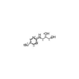 CC(C)(C)c1cnc(NCC(O)CO)nc1